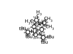 Cc1cc(C)c(-c2ccc3c(c2)B2c4cc(-c5c(C)cc(C)cc5C)ccc4N(c4cc(C(C)(C)C)cc(C(C)(C)C)c4)c4cccc(c42)N3c2cc(C(C)(C)C)cc(C(C)(C)C)c2)c(C)c1